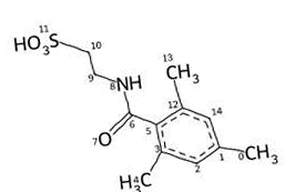 Cc1cc(C)c(C(=O)NCCS(=O)(=O)O)c(C)c1